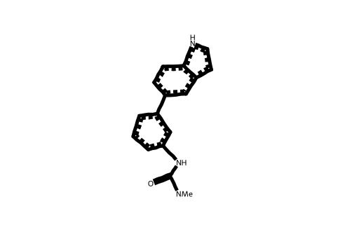 CNC(=O)Nc1cccc(-c2ccc3[nH]ccc3c2)c1